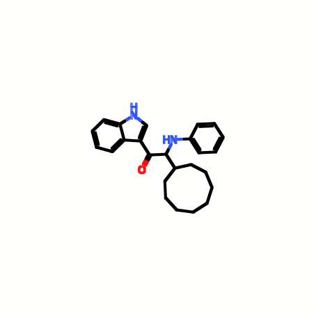 O=C(c1c[nH]c2ccccc12)C(Nc1ccccc1)C1CCCCCCCC1